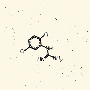 N=C(N)Nc1cc(Cl)ccc1Cl